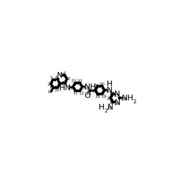 Cc1ccc2nccc(Nc3ccc(NC(=O)c4ccc(Nc5cc(N)nc(N)n5)cc4)cc3)c2c1